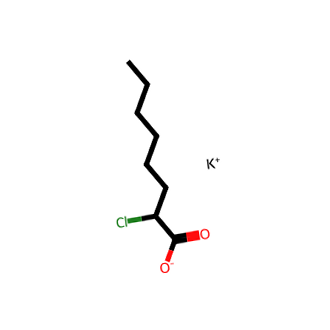 CCCCCCC(Cl)C(=O)[O-].[K+]